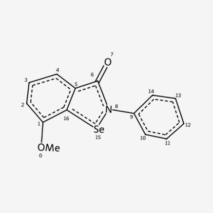 COc1cccc2c(=O)n(-c3ccccc3)[se]c12